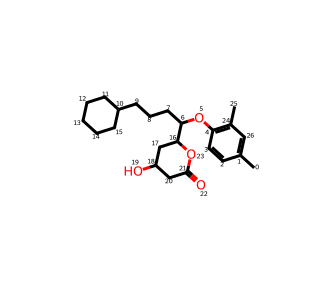 Cc1ccc(OC(CCCC2CCCCC2)C2CC(O)CC(=O)O2)c(C)c1